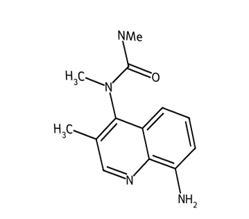 CNC(=O)N(C)c1c(C)cnc2c(N)cccc12